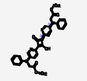 CCCCCCCCOC(=O)CN(c1ccccc1)c1ccc(C2=C(O)/C(=C3C=C/C(=[N+](/CC(=O)OCCCCCCCC)c4ccccc4)C=N\3)C2=O)nc1